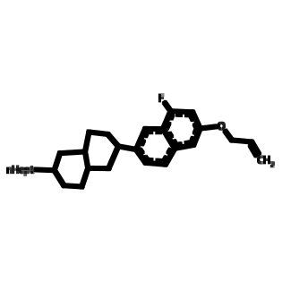 C=CCOc1cc(F)c2cc(C3CCC4CC(CCCCCCC)CCC4C3)ccc2c1